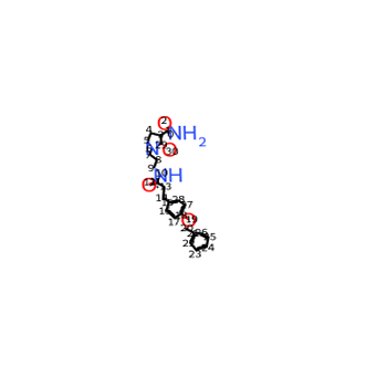 NC(=O)C1CCN(CCCNC(=O)[CH]Cc2ccc(OCc3ccccc3)cc2)C1=O